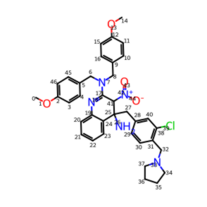 COc1ccc(CN(Cc2ccc(OC)cc2)C2=Nc3ccccc3C(N)(Cc3ccc(CN4CCCC4)c(Cl)c3)C2[N+](=O)[O-])cc1